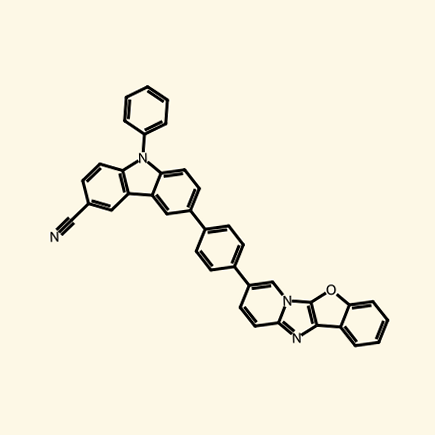 N#Cc1ccc2c(c1)c1cc(-c3ccc(-c4ccc5nc6c7ccccc7oc6n5c4)cc3)ccc1n2-c1ccccc1